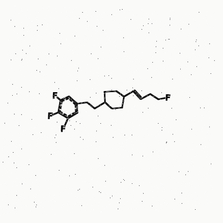 FCCC=CC1CCC(CCc2cc(F)c(F)c(F)c2)CC1